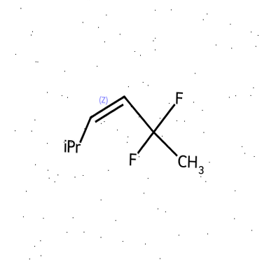 CC(C)/C=C\C(C)(F)F